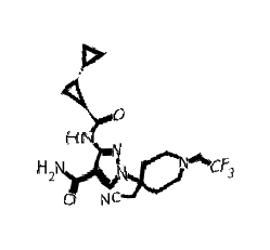 N#CCC1(n2cc(C(N)=O)c(NC(=O)[C@H]3C[C@@H]3C3CC3)n2)CCN(CC(F)(F)F)CC1